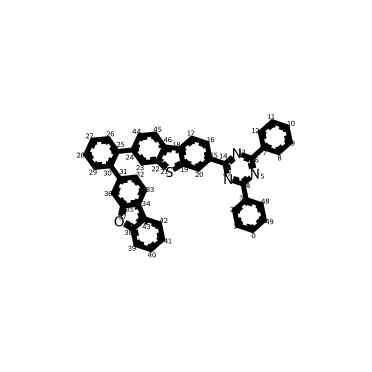 c1ccc(-c2nc(-c3ccccc3)nc(-c3ccc4c(c3)sc3cc(-c5ccccc5-c5ccc6c(c5)oc5ccccc56)ccc34)n2)cc1